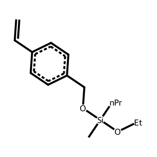 C=Cc1ccc(CO[Si](C)(CCC)OCC)cc1